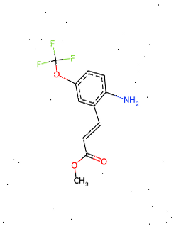 COC(=O)/C=C/c1cc(OC(F)(F)F)ccc1N